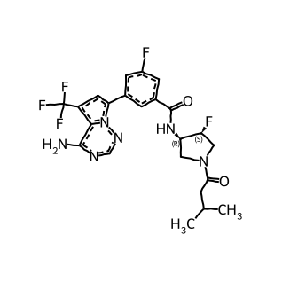 CC(C)CC(=O)N1C[C@H](F)[C@H](NC(=O)c2cc(F)cc(-c3cc(C(F)(F)F)c4c(N)ncnn34)c2)C1